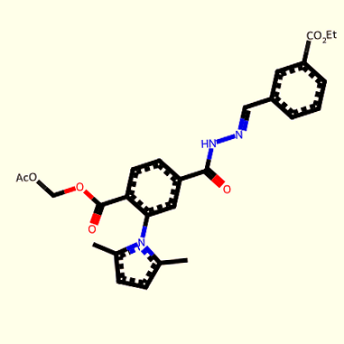 CCOC(=O)c1cccc(/C=N/NC(=O)c2ccc(C(=O)OCOC(C)=O)c(-n3c(C)ccc3C)c2)c1